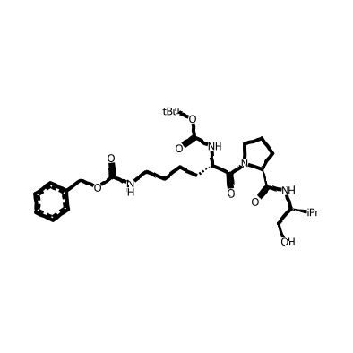 CC(C)[C@@H](CO)NC(=O)[C@@H]1CCCN1C(=O)[C@H](CCCCNC(=O)OCc1ccccc1)NC(=O)OC(C)(C)C